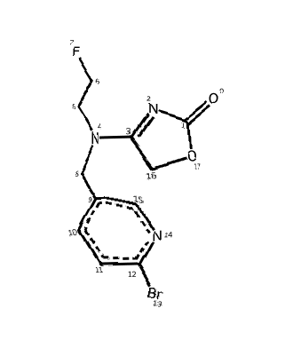 O=C1N=C(N(CCF)Cc2ccc(Br)nc2)CO1